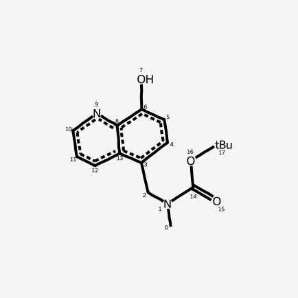 CN(Cc1ccc(O)c2ncccc12)C(=O)OC(C)(C)C